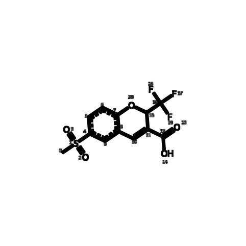 CS(=O)(=O)c1ccc2c(c1)C=C(C(=O)O)C(C(F)(F)F)O2